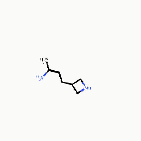 CC(N)CCC1CNC1